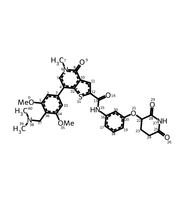 COc1cc(-c2cn(C)c(=O)c3cc(C(=O)Nc4cccc(OC5CCC(=O)NC5=O)c4)sc23)cc(OC)c1CN(C)C